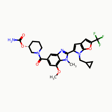 COc1cc(C(=O)N2CCC[C@@H](OC(N)=O)C2)cc2nc(-c3cc4cc(C(F)(F)F)oc4n3CC3CC3)n(C)c12